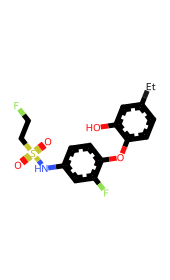 CCc1ccc(Oc2ccc(NS(=O)(=O)CCF)cc2F)c(O)c1